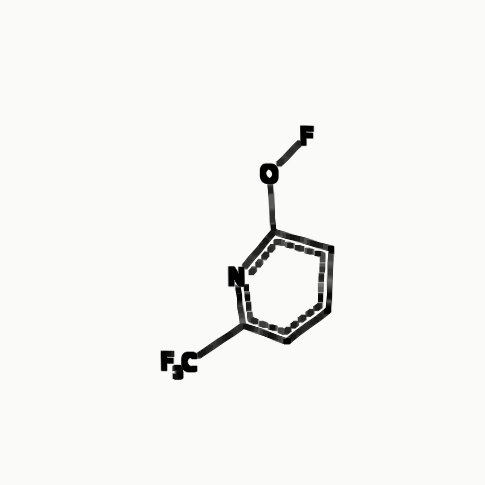 FOc1cccc(C(F)(F)F)n1